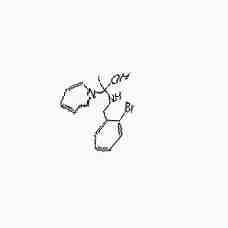 CC(O)(NCc1ccccc1Br)N1C=CC=CC1